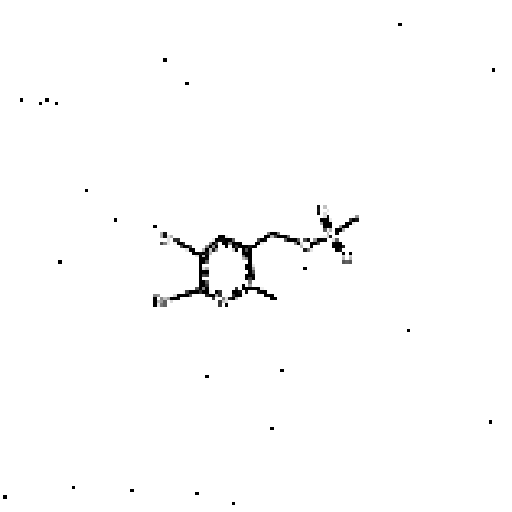 Cc1nc(Br)c(Br)cc1COS(C)(=O)=O